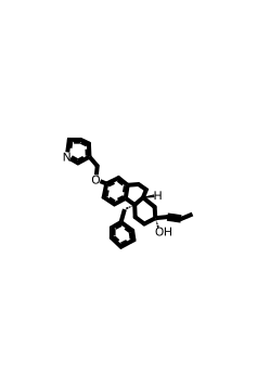 CC#C[C@@]1(O)CC[C@@]2(Cc3ccccc3)c3ccc(OCc4cccnc4)cc3CC[C@@H]2C1